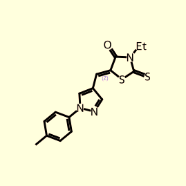 CCN1C(=O)/C(=C/c2cnn(-c3ccc(C)cc3)c2)SC1=S